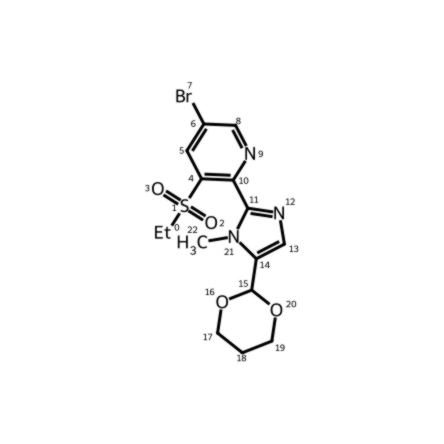 CCS(=O)(=O)c1cc(Br)cnc1-c1ncc(C2OCCCO2)n1C